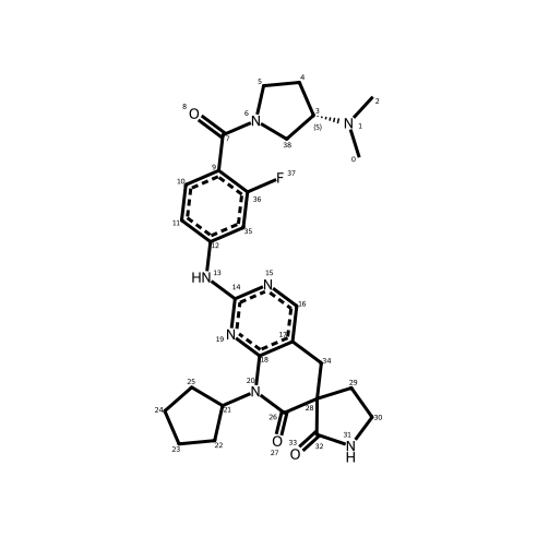 CN(C)[C@H]1CCN(C(=O)c2ccc(Nc3ncc4c(n3)N(C3CCCC3)C(=O)C3(CCNC3=O)C4)cc2F)C1